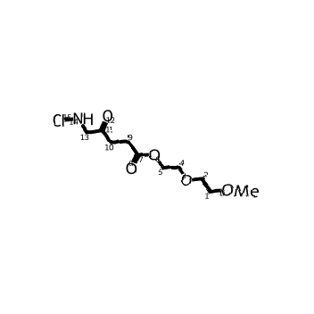 COCCOCCOC(=O)CCC(=O)CNCl